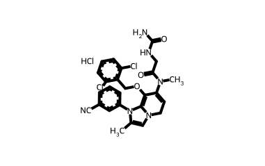 CC1=CN2CC=C(N(C)C(=O)CNC(N)=O)C(OCc3c(Cl)cccc3Cl)=C2N1c1cccc(C#N)c1.Cl